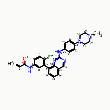 C=CC(=O)Nc1ccc(F)c(-c2cccc3cnc(Nc4ccc(N5CCN(C)CC5)cc4)nc23)c1